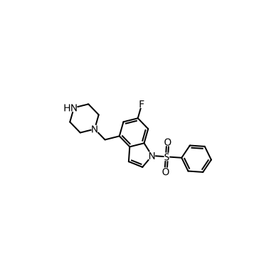 O=S(=O)(c1ccccc1)n1ccc2c(CN3CCNCC3)cc(F)cc21